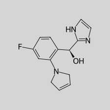 O[C@H](c1ncc[nH]1)c1ccc(F)cc1N1CC=CC1